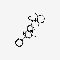 Cc1cc(-c2ccccc2)nc2cc(C(=O)N3C(C)CCCC3C)nn12